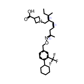 CC/C(C)=C(/C=C\C/C(C)=N/OCc1ccc(C2CCCCC2)c(C(F)(F)F)c1)CN1CC(C(=O)O)C1